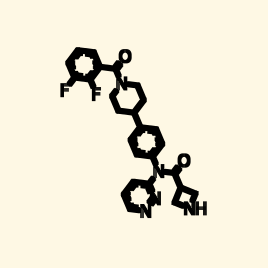 O=C(c1cccc(F)c1F)N1CCC(c2ccc(N(C(=O)C3CNC3)c3cccnn3)cc2)CC1